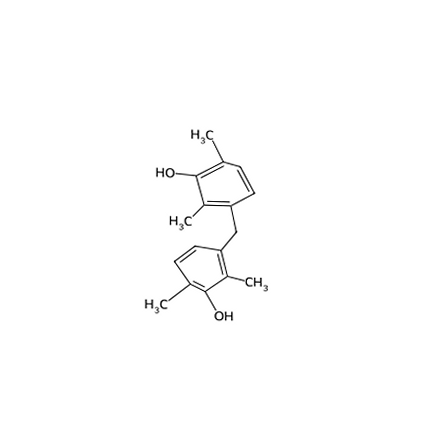 Cc1ccc(Cc2ccc(C)c(O)c2C)c(C)c1O